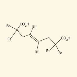 CCC(Br)(CC(Br)=C(Br)CC(Br)(CC)C(=O)O)C(=O)O